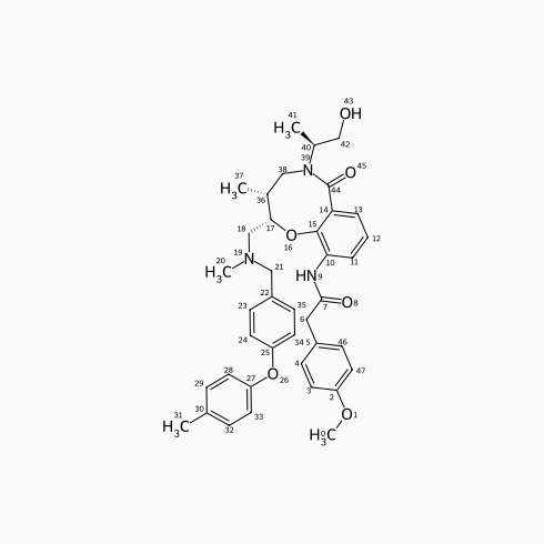 COc1ccc(CC(=O)Nc2cccc3c2O[C@H](CN(C)Cc2ccc(Oc4ccc(C)cc4)cc2)[C@H](C)CN([C@@H](C)CO)C3=O)cc1